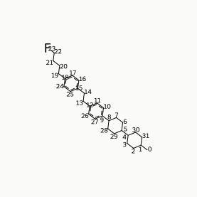 CC1CCC(C2CCC(c3ccc(CCc4ccc(CCCCF)cc4)cc3)CC2)CC1